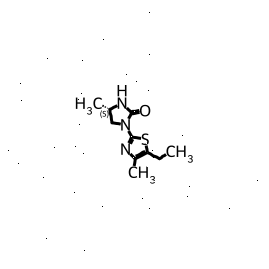 CCc1sc(N2C[C@H](C)NC2=O)nc1C